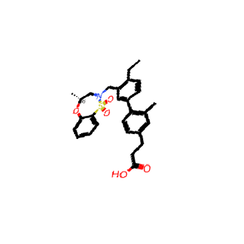 CCc1ccc(-c2ccc(CCC(=O)O)cc2C)cc1CN1C[C@@H](C)Oc2ccccc2S1(=O)=O